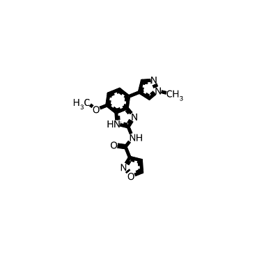 COc1ccc(-c2cnn(C)c2)c2nc(NC(=O)c3ccon3)[nH]c12